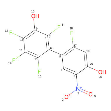 O=[N+]([O-])c1cc(-c2c(F)c(O)c(F)c(F)c2F)c(F)cc1O